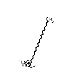 C=CCCCCCCCCCCCCCCCCCCCC[Si](O)(O)OC